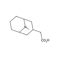 CN1C2CCCC1CC(CC(=O)O)C2